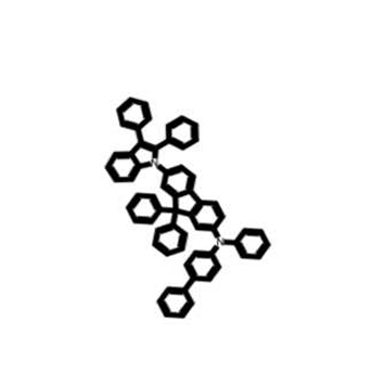 c1ccc(-c2ccc(N(c3ccccc3)c3ccc4c(c3)C(c3ccccc3)(c3ccccc3)c3cc(-n5c(-c6ccccc6)c(-c6ccccc6)c6ccccc65)ccc3-4)cc2)cc1